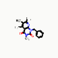 Cc1nc2c(c(C)c1C)c(=O)n(C)c(=O)n2Cc1ccccc1